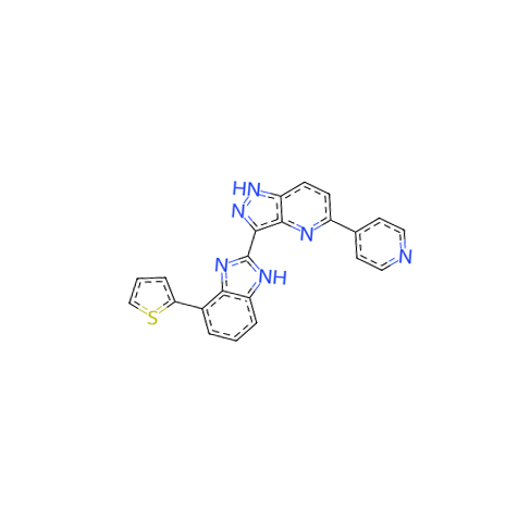 c1csc(-c2cccc3[nH]c(-c4n[nH]c5ccc(-c6ccncc6)nc45)nc23)c1